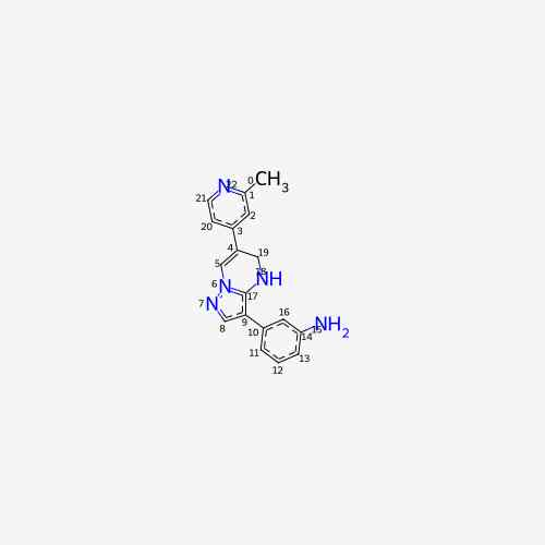 Cc1cc(C2=Cn3ncc(-c4cccc(N)c4)c3NC2)ccn1